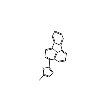 Cc1ccc(-c2ccc3c4c(cccc24)-c2ccccc2-3)s1